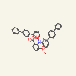 COC(=O)c1cccc(C(=O)O)c1N(c1cccc(-c2ccc(-c3ccccc3)cc2)n1)c1cccc(-c2ccc(-c3ccccc3)cc2)n1